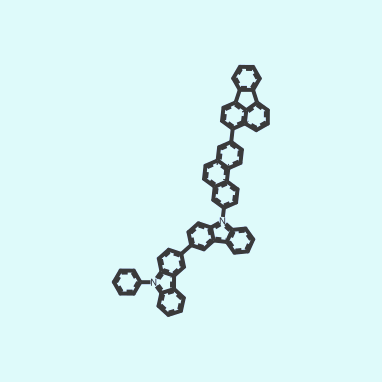 c1ccc(-n2c3ccccc3c3cc(-c4ccc5c(c4)c4ccccc4n5-c4ccc5c(ccc6cc(-c7ccc8c9c(cccc79)-c7ccccc7-8)ccc65)c4)ccc32)cc1